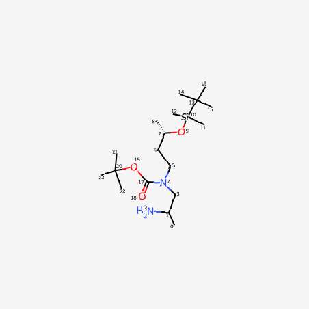 CC(N)CN(CC[C@H](C)O[Si](C)(C)C(C)(C)C)C(=O)OC(C)(C)C